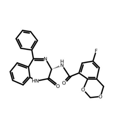 O=C(N[C@H]1N=C(c2ccccc2)c2ccccc2NC1=O)c1cc(F)cc2c1OCOC2